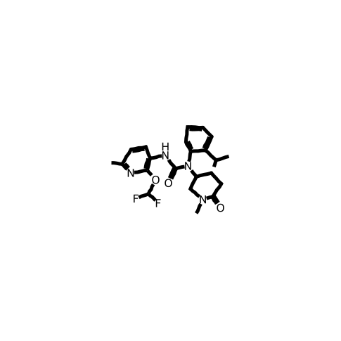 Cc1ccc(NC(=O)N(c2ccccc2C(C)C)C2CCC(=O)N(C)C2)c(OC(F)F)n1